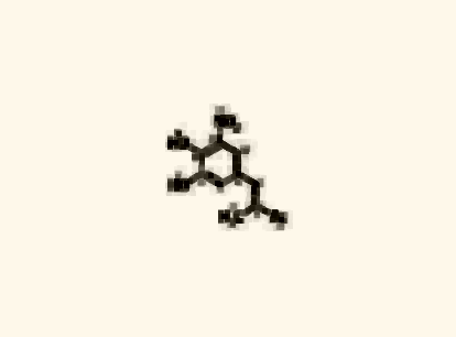 CC(=O)/C(C)=C/c1cc(O)c(O)c([N+](=O)[O-])c1